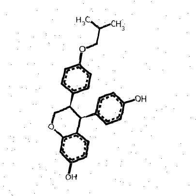 CC(C)COc1ccc([C@@H]2COc3cc(O)ccc3[C@@H]2c2ccc(O)cc2)cc1